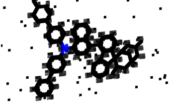 CC1C=CC(c2ccc(N(c3ccc(-c4ccccc4)cc3)c3ccc(-c4cccc5c4-c4ccccc4C54C(C)CC5CC(C)CC4C5)c4ccccc34)cc2)=CC1